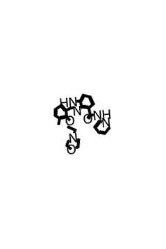 Cc1cccc(-c2nc3c(C(=O)Nc4ccccn4)cccc3[nH]2)c1OCCN1CCOCC1